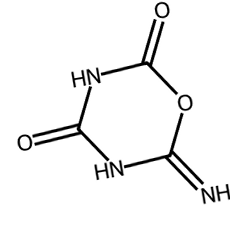 N=c1[nH]c(=O)[nH]c(=O)o1